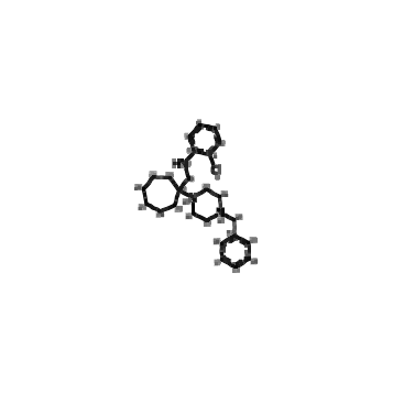 Clc1ccccc1NCC1(N2CCN(Cc3ccccc3)CC2)CCCCCC1